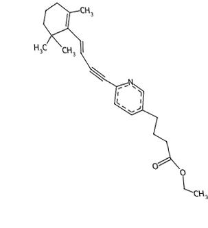 CCOC(=O)CCCc1ccc(C#CC=CC2=C(C)CCCC2(C)C)nc1